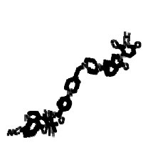 CC1(C)C(NC(=O)c2ccc(N3CCC(CN4CCN(c5ccc6c(c5)CN([C@H]5CCC(=O)NC5=O)C6=O)CC4)CC3)cc2)C2(C)c3ccnc4c(C#N)ccc(c34)O[C@@H]12